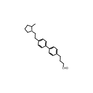 CC1CCCN1CCc1ccc(-c2ccc(CCCC=O)cc2)cc1